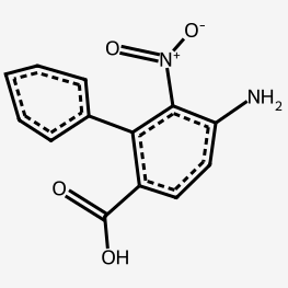 Nc1ccc(C(=O)O)c(-c2ccccc2)c1[N+](=O)[O-]